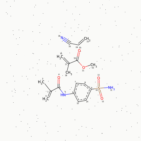 C=C(C)C(=O)Nc1ccc(S(N)(=O)=O)cc1.C=C(C)C(=O)OC.C=CC#N